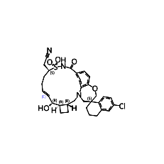 N#CC[C@@H]1CC/C=C/[C@H](O)[C@@H]2CC[C@H]2CN2C[C@@]3(CCCc4cc(Cl)ccc43)COc3ccc(cc32)C(=O)NS1(=O)=O